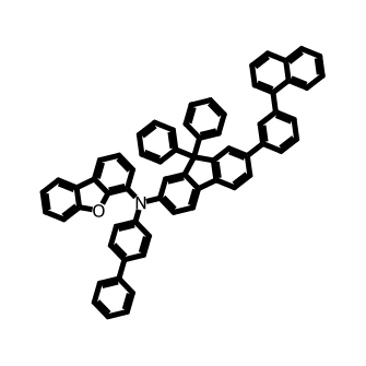 c1ccc(-c2ccc(N(c3ccc4c(c3)C(c3ccccc3)(c3ccccc3)c3cc(-c5cccc(-c6cccc7ccccc67)c5)ccc3-4)c3cccc4c3oc3ccccc34)cc2)cc1